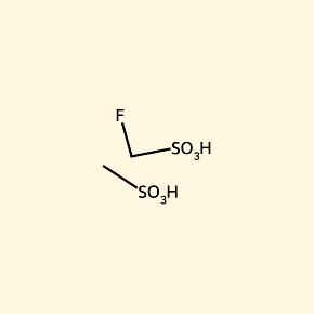 CS(=O)(=O)O.O=S(=O)(O)CF